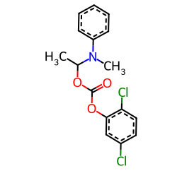 CC(OC(=O)Oc1cc(Cl)ccc1Cl)N(C)c1ccccc1